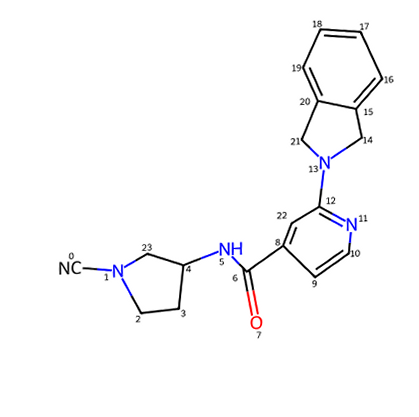 N#CN1CCC(NC(=O)c2ccnc(N3Cc4ccccc4C3)c2)C1